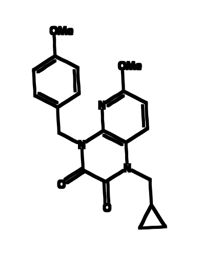 COc1ccc(Cn2c(=O)c(=O)n(CC3CC3)c3ccc(OC)nc32)cc1